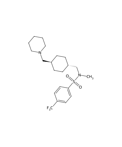 CN(C[C@H]1CC[C@H](CN2CCCCC2)CC1)S(=O)(=O)c1ccc(C(F)(F)F)cc1